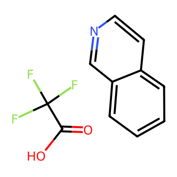 O=C(O)C(F)(F)F.c1ccc2cnccc2c1